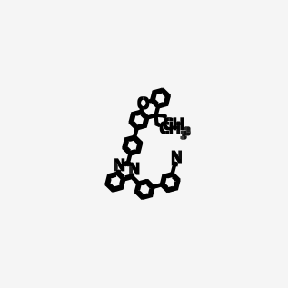 CCC1(CC)c2ccccc2Oc2ccc(-c3ccc(-c4nc(-c5cccc(-c6cccc(C#N)c6)c5)c5ccccc5n4)cc3)cc21